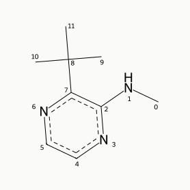 CNc1nccnc1C(C)(C)C